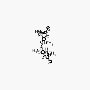 COc1cc2c(cc1OCCCOc1cc3c(cc1OC)C(=O)N1C=C(c4cccs4)C[C@H]1C(S(=O)(=O)O)N3)NC(C)[C@@H]1CC(c3cccs3)=CN1C2=O